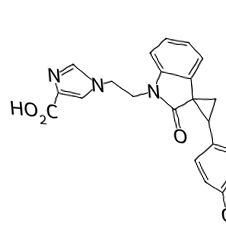 O=C(O)c1cn(CCN2C(=O)C3(CC3c3ccc(Cl)cc3)c3ccccc32)cn1